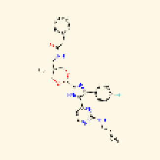 C=CCNc1nccc(-c2[nH]c(C3OCC(C)(CNC(=O)Cc4ccccc4)CO3)nc2-c2ccc(F)cc2)n1